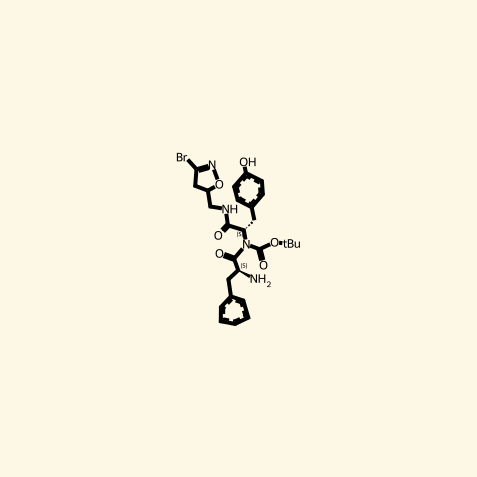 CC(C)(C)OC(=O)N(C(=O)[C@@H](N)Cc1ccccc1)[C@@H](Cc1ccc(O)cc1)C(=O)NCC1CC(Br)=NO1